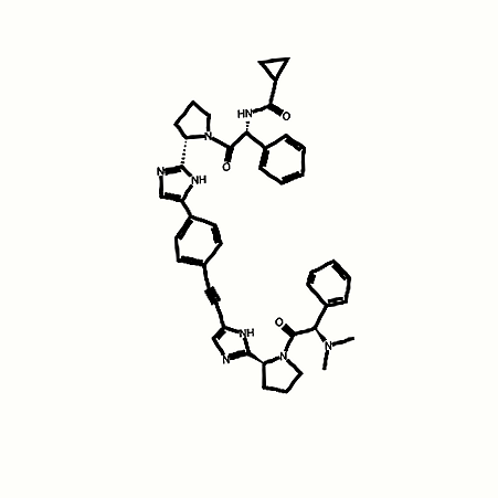 CN(C)[C@@H](C(=O)N1CCC[C@H]1c1ncc(C#Cc2ccc(-c3cnc([C@@H]4CCCN4C(=O)[C@H](NC(=O)C4CC4)c4ccccc4)[nH]3)cc2)[nH]1)c1ccccc1